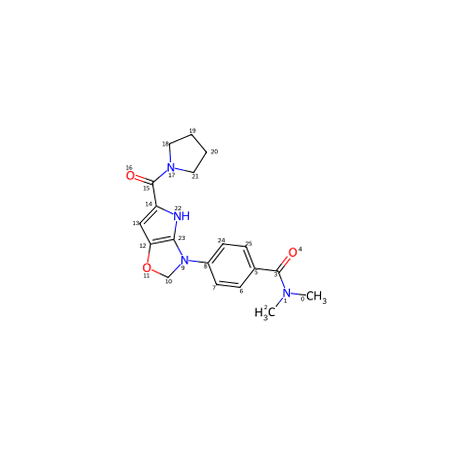 CN(C)C(=O)c1ccc(N2COc3cc(C(=O)N4CCCC4)[nH]c32)cc1